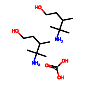 CC(CCO)C(C)(C)N.CC(CCO)C(C)(C)N.O=[Si](O)O